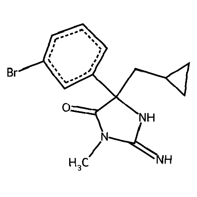 CN1C(=N)NC(CC2CC2)(c2cccc(Br)c2)C1=O